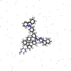 C=C/C=C\C(=C/C)c1ccc2c(c1)C(c1ccccc1)(c1ccccc1)c1cc(N(c3ccc(-c4ccc(-n5c6ccccc6c6ccccc65)cc4)cc3)c3cnc4c(ccc5ccccc54)c3)ccc1-2